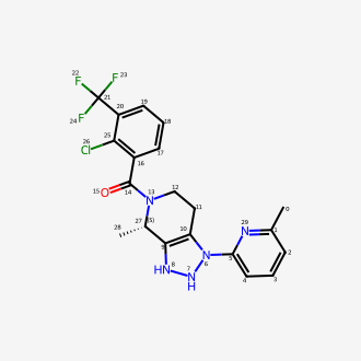 Cc1cccc(N2NNC3=C2CCN(C(=O)c2cccc(C(F)(F)F)c2Cl)[C@H]3C)n1